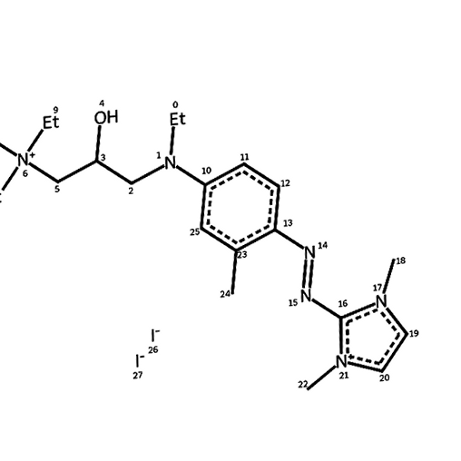 CCN(CC(O)C[N+](C)(CC)CC)c1ccc(N=Nc2n(C)cc[n+]2C)c(C)c1.[I-].[I-]